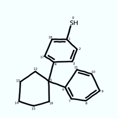 Sc1ccc(C2(c3ccccc3)CCCCC2)cc1